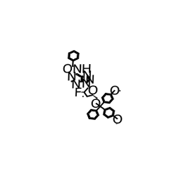 COc1ccc(C(OC[C@H]2[CH][C@@H](F)[C@H](n3nnc4c(NC(=O)c5ccccc5)ncnc43)O2)(c2ccccc2)c2ccc(OC)cc2)cc1